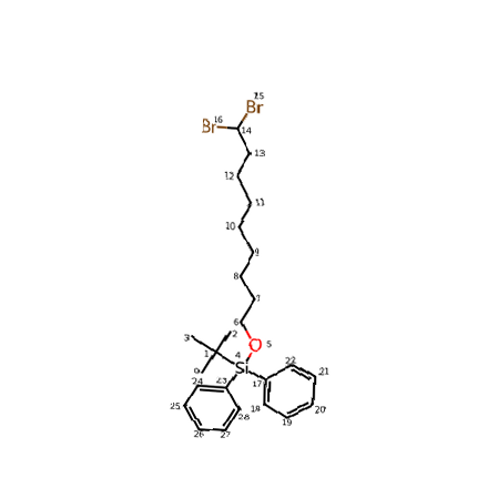 CC(C)(C)[Si](OCCCCCCCCC(Br)Br)(c1ccccc1)c1ccccc1